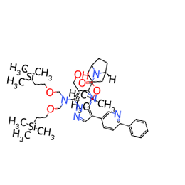 CC(C)(C)OC(=O)N1C2CC[C@@H]1CC(c1nc3c(-c4ccc(-c5ccccc5)nc4)cnn3c(N(COCC[Si](C)(C)C)COCC[Si](C)(C)C)c1CO)C2